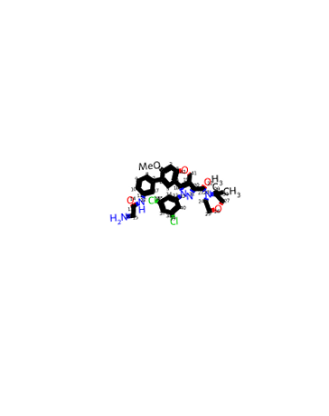 COc1cc2c(cc1-c1cccc(NC(=O)CN)c1)-c1c(c(C(=O)N3CCOCC3(C)C)nn1-c1cc(Cl)cc(Cl)c1)CO2